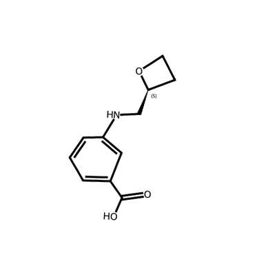 O=C(O)c1cccc(NC[C@@H]2CCO2)c1